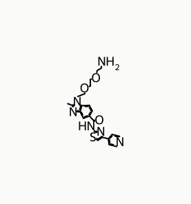 Cc1nc2cc(C(=O)Nc3nc(-c4ccncc4)cs3)ccc2n1CCOCCOCCN